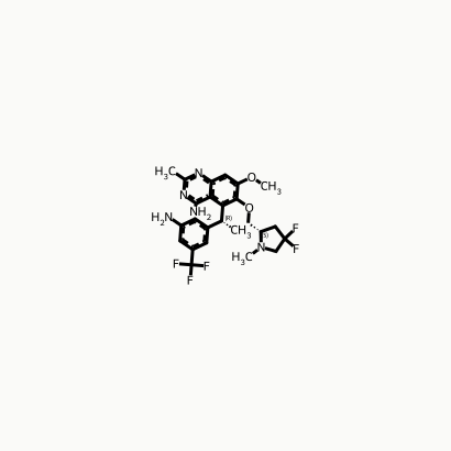 COc1cc2nc(C)nc(N)c2c([C@H](C)c2cc(N)cc(C(F)(F)F)c2)c1OC[C@@H]1CC(F)(F)CN1C